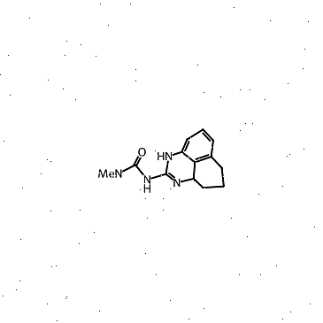 CNC(=O)NC1=NC2CCCc3cccc(c32)N1